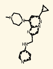 CN1CCN(c2cc(C3CC3)nn3cc(CNc4ccncc4)nc23)CC1